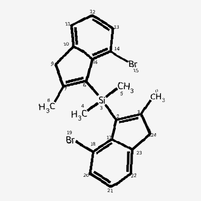 CC1=C([Si](C)(C)C2=C(C)[CH]c3cccc(Br)c32)c2c(Br)cccc2[CH]1